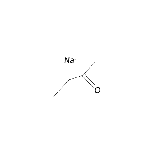 CCC(C)=O.[Na]